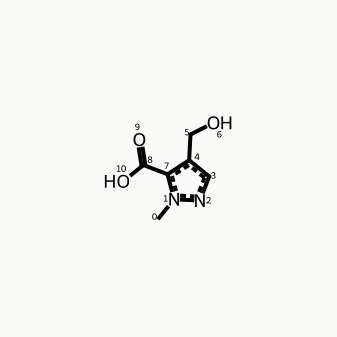 Cn1ncc(CO)c1C(=O)O